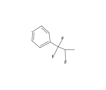 CC(F)C(F)(F)c1cc[c]cc1